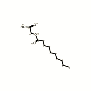 CCCCCCCCCC(=O)OCC(=O)O